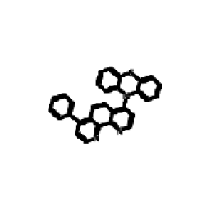 c1ccc(-c2ccnc3c2ccc2c(N4c5ccccc5Sc5ccccc54)ccnc23)cc1